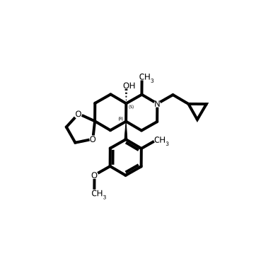 COc1ccc(C)c([C@]23CCN(CC4CC4)C(C)[C@]2(O)CCC2(C3)OCCO2)c1